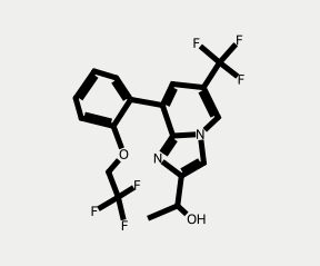 CC(O)c1cn2cc(C(F)(F)F)cc(-c3ccccc3OCC(F)(F)F)c2n1